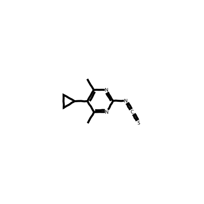 Cc1nc(N=C=S)nc(C)c1C1CC1